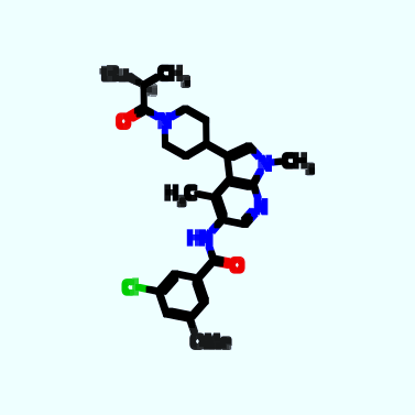 COc1cc(Cl)cc(C(=O)Nc2cnc3c(c(C4CCN(C(=O)[C@H](C)C(C)(C)C)CC4)cn3C)c2C)c1